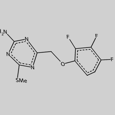 CSc1nc(N)nc(COc2ccc(F)c(F)c2F)n1